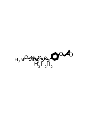 [SiH3]O[SiH2]O[SiH2]O[SiH2]O[SiH2]c1ccc(OCC2CO2)cc1